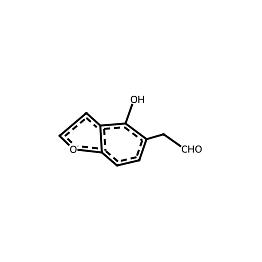 O=CCc1ccc2occc2c1O